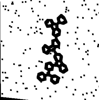 c1ccc(N(c2ccccc2)c2cccc(-n3c4ccccc4c4ccc(-n5c6ccccc6c6cc(-c7ccc8c(c7)c7ccccc7n8-c7ccccc7)ccc65)cc43)c2)cc1